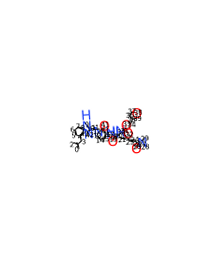 CC(C)Cc1cccc2[nH]c(Cn3cccc(NC(=O)[C@H](CC/C=C/C(=O)N(C)C)NC(=O)OCC4CCOC4)c3=O)nc12